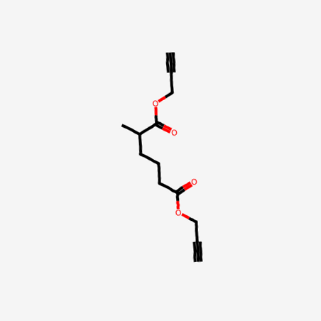 C#CCOC(=O)CCCC(C)C(=O)OCC#C